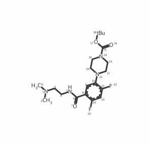 CN(C)CCNC(=O)c1cc(N2CCN(C(=O)OC(C)(C)C)CC2)c(F)cc1F